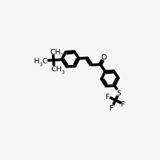 CC(C)(C)c1ccc(/C=C/C(=O)c2ccc(SC(F)(F)F)cc2)cc1